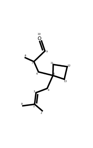 CC(C)=CCC1(CC(C)C=O)CCC1